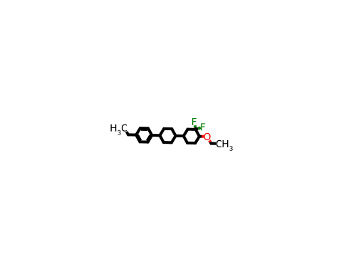 CCOC1CCC(C2CCC(c3ccc(CC)cc3)CC2)CC1(F)F